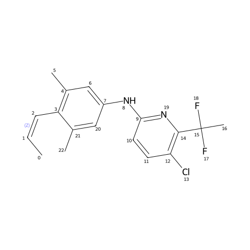 C/C=C\c1c(C)cc(Nc2ccc(Cl)c(C(C)(F)F)n2)cc1C